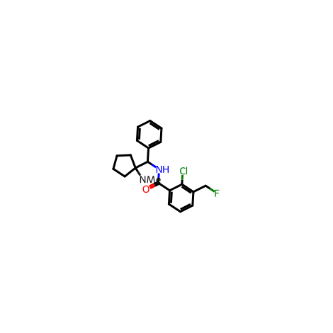 CNC1(C(NC(=O)c2cccc(CF)c2Cl)c2ccccc2)CCCC1